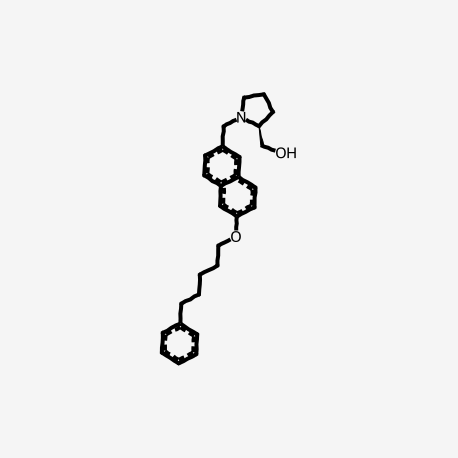 OC[C@@H]1CCCN1Cc1ccc2cc(OCCCCCc3ccccc3)ccc2c1